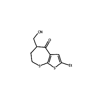 CCc1cc2c(s1)SCCC(CC#N)C2=O